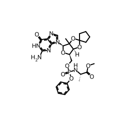 COC(=O)[C@H](C)NP(=O)(OC[C@H]1O[C@@H](n2cnc3c(=O)[nH]c(N)nc32)C2(C)OC3(CCCC3)O[C@@H]12)Oc1ccccc1